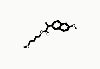 COCCCCOC(=O)C(C)c1ccc2cc(OC)ccc2c1